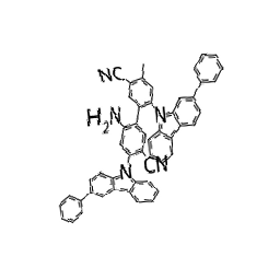 Cc1cc(-n2c3ccccc3c3ccc(-c4ccccc4)cc32)c(-c2cc(C#N)c(-n3c4ccccc4c4cc(-c5ccccc5)ccc43)cc2N)cc1C#N